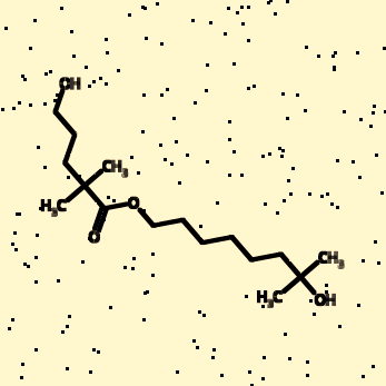 CC(C)(O)CCCCCCOC(=O)C(C)(C)CCCO